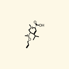 C=CCON(C)[C@H]1CN(C)[C@H](C(=O)O)C=C1C(C)C